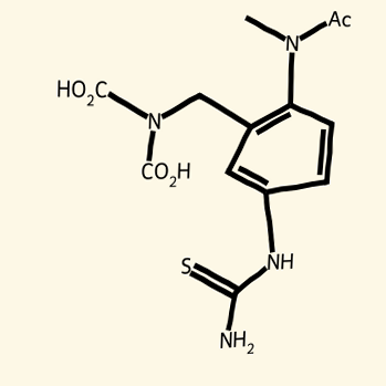 CC(=O)N(C)c1ccc(NC(N)=S)cc1CN(C(=O)O)C(=O)O